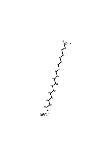 [CH2]CCCCCCCCCCCCCCCCCCCCCCCCCCCOCCC